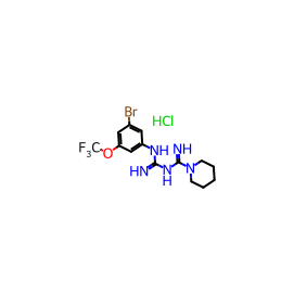 Cl.N=C(NC(=N)N1CCCCC1)Nc1cc(Br)cc(OC(F)(F)F)c1